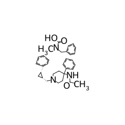 CC(=O)NC1(c2ccccc2)CCN(C[C@@H]2C[C@@H]2c2ccccc2)CC1.CN(Cc1ccccc1)C(=O)O